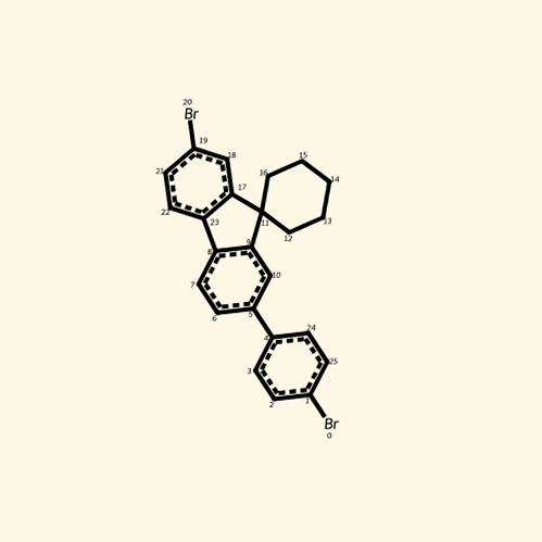 Brc1ccc(-c2ccc3c(c2)C2(CCCCC2)c2cc(Br)ccc2-3)cc1